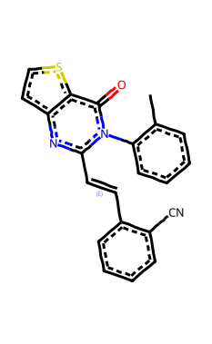 Cc1ccccc1-n1c(/C=C/c2ccccc2C#N)nc2ccsc2c1=O